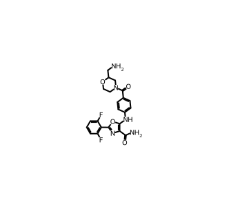 NCC1CN(C(=O)c2ccc(Nc3oc(-c4c(F)cccc4F)nc3C(N)=O)cc2)CCO1